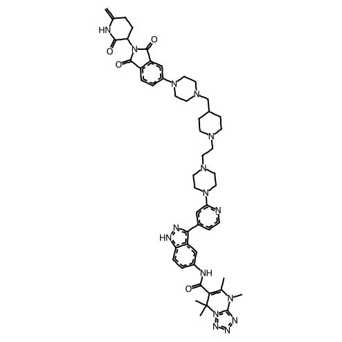 C=C1CCC(N2C(=O)c3ccc(N4CCN(CC5CCN(CCN6CCN(c7cc(-c8n[nH]c9ccc(NC(=O)C%10=C(C)N(C)c%11nnnn%11C%10(C)C)cc89)ccn7)CC6)CC5)CC4)cc3C2=O)C(=O)N1